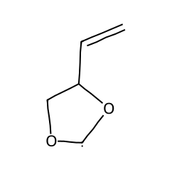 C=CC1CO[CH]O1